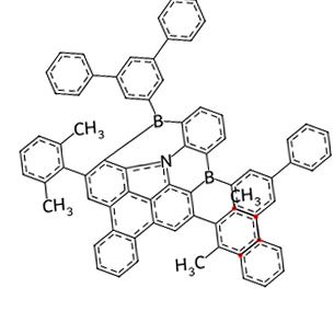 Cc1cccc(C)c1-c1cc2c3ccccc3c3cc(-c4c(C)cccc4C)c4c5c3c2c2c1B(c1cc(-c3ccccc3)cc(-c3ccccc3)c1)c1cccc(c1-n25)B4c1cc(-c2ccccc2)cc(-c2ccccc2)c1